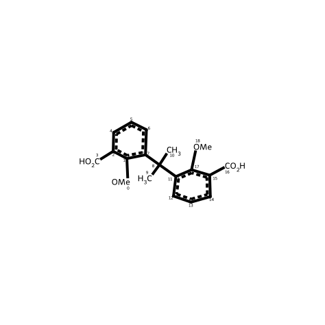 COc1c(C(=O)O)cccc1C(C)(C)c1cccc(C(=O)O)c1OC